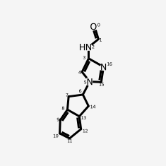 O=CNc1cn(C2Cc3ccccc3C2)cn1